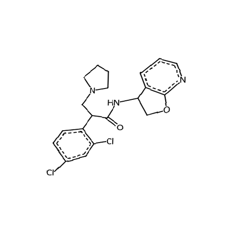 O=C(NC1COc2ncccc21)C(CN1CCCC1)c1ccc(Cl)cc1Cl